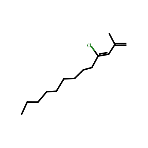 C=C(C)C=C(Cl)CCCCCCCCC